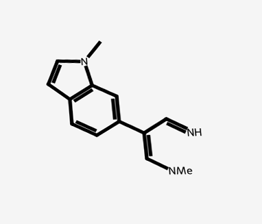 CN/C=C(\C=N)c1ccc2ccn(C)c2c1